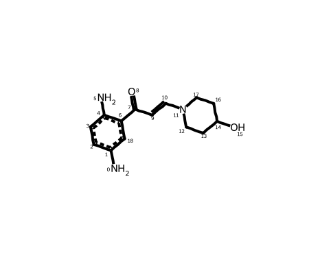 Nc1ccc(N)c(C(=O)C=CN2CCC(O)CC2)c1